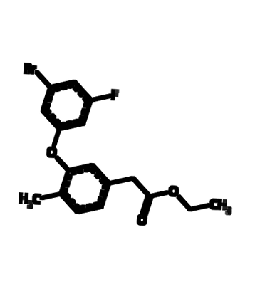 CCOC(=O)Cc1ccc(C)c(Oc2cc(F)cc(Br)c2)c1